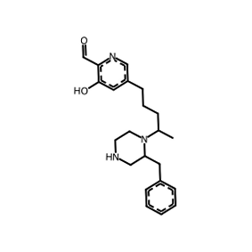 CC(CCCc1cnc(C=O)c(O)c1)N1CCNCC1Cc1ccccc1